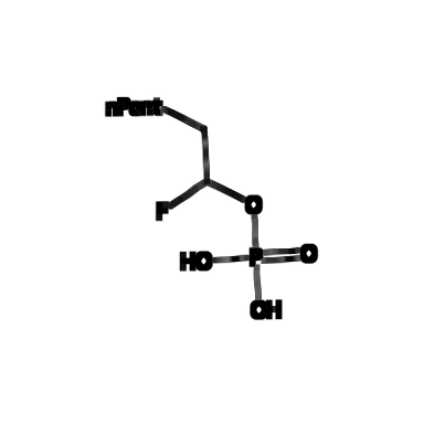 CCCCCCC(F)OP(=O)(O)O